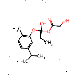 CCC(O)(OC(=O)CO)Oc1cc(C(C)C)ccc1C